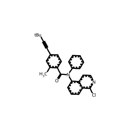 Cc1cc(C#CC(C)(C)C)ccc1C(=O)N(c1ccccc1)c1cccc2c(Cl)nccc12